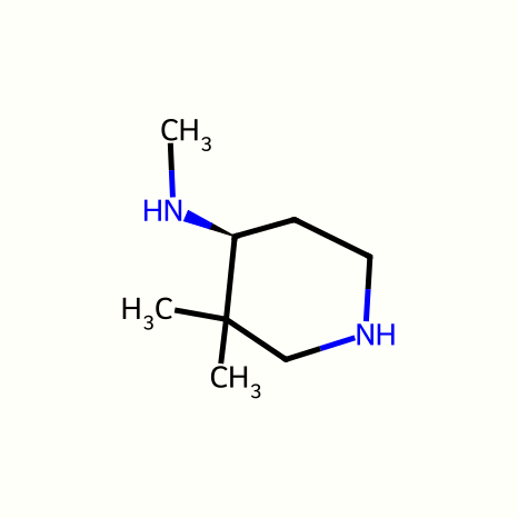 CN[C@H]1CCNCC1(C)C